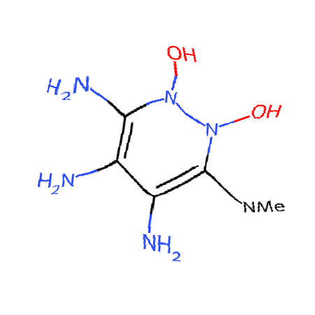 CNC1=C(N)C(N)=C(N)N(O)N1O